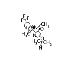 CCS(=N)(=O)c1cc(OC(C)(C)C#N)cnc1-c1nc2cc(C(F)(F)F)cnc2n1C